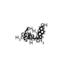 C#CCNC(=O)C1=C(C)CSC2C(NC(=O)CCC(C)C3CCC4C5CCC6CC(O)CCC6(C)C5CCC34C)C(=O)N12